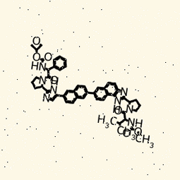 COC(=O)NC(C(=O)N1CCCC1c1nc2ccc3cc(-c4ccc5cc(-c6cnc(C7CCCN7C(=O)C(NC(=O)OC7COC7)c7ccccc7)[nH]6)ccc5c4)ccc3c2[nH]1)C(C)C